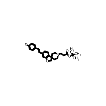 CC(C)(C)OC(=O)CCN1CCC2(CC1)COc1cc(/C=C/c3ccc(F)cc3)ccc12